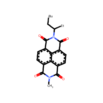 CCC(C)CC(CC)N1C(=O)c2ccc3c4c(ccc(c24)C1=O)C(=O)N(C)C3=O